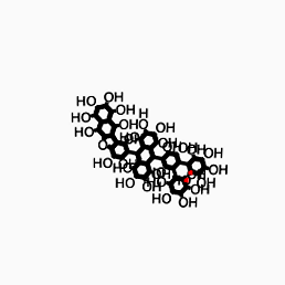 Oc1c(O)c(O)c(-c2c(O)c(O)c(-c3c4c(O)c(O)c(O)c(O)c4c(-c4c(O)c(O)c5oc6c(O)c7c(O)c(O)c(O)c(O)c7c(O)c6c5c4O)c4c(O)c(O)c(O)c(O)c34)c(O)c2-c2c(O)c(O)c(O)c(O)c2O)c(O)c1O